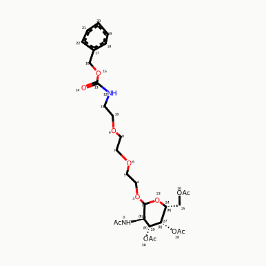 CC(=O)N[C@H]1C(OCCOCCOCCNC(=O)OCc2ccccc2)O[C@H](COC(C)=O)[C@H](OC(C)=O)[C@@H]1OC(C)=O